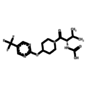 CC(C)[C@H](NC(=O)O)C(=O)N1CCC(Oc2ncc(C(F)(F)F)cn2)CC1